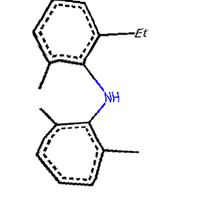 CCc1cccc(C)c1Nc1c(C)cccc1C